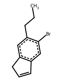 CCCc1cc2c(cc1Br)C=CC2